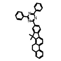 CC1(C)c2cc(-c3nc(-c4ccccc4)nc(-c4ccccc4)n3)ccc2-c2ccc3c(c21)CCc1ccccc1-3